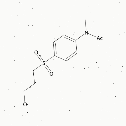 CC(=O)N(C)c1ccc(S(=O)(=O)CCC[O])cc1